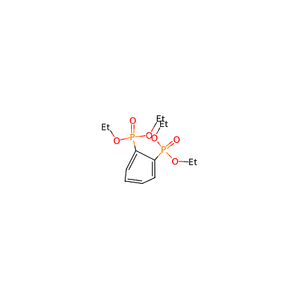 CCOP(=O)(OCC)c1ccccc1P(=O)(OCC)OCC